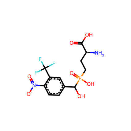 N[C@@H](CCP(=O)(O)C(O)c1ccc([N+](=O)[O-])c(C(F)(F)F)c1)C(=O)O